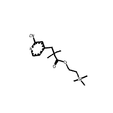 [C-]#[N+]c1cc(CC(C)(C)C(=O)OCC[Si](C)(C)C)ccn1